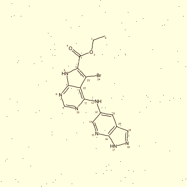 CCOC(=O)c1[nH]c2ncnc(Nc3cnc4[nH]ncc4c3)c2c1Br